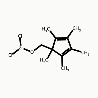 CC1=C(C)C(C)(C[O][Zr]([Cl])[Cl])C(C)=C1C